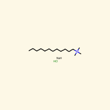 CCCCCCCCCCCC[N+](C)(C)C.Cl.[NaH]